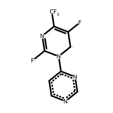 FC1=NC(C(F)(F)F)=C(F)[CH]N1c1ccncn1